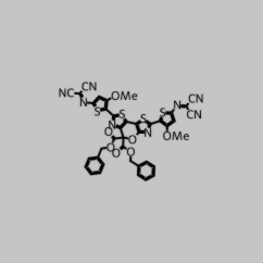 COc1cc(N=C(C#N)C#N)sc1-c1nc2c(s1)-c1sc(-c3sc(N=C(C#N)C#N)cc3OC)nc1C(C(=O)OCc1ccccc1)(C(=O)OCc1ccccc1)O2